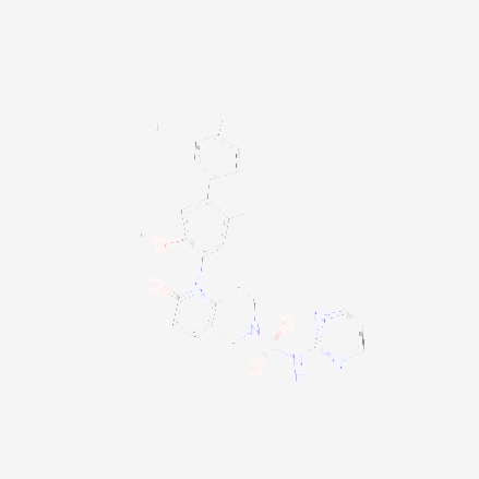 COc1cc(-c2ccc(Cl)c(C)c2)c(F)cc1-n1c2c(ccc1=O)CN(S(=O)(=O)Nc1ncccn1)CC2